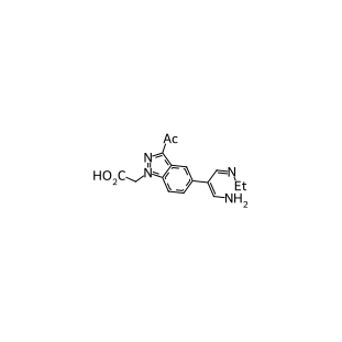 CC/N=C\C(=C/N)c1ccc2c(c1)c(C(C)=O)nn2CC(=O)O